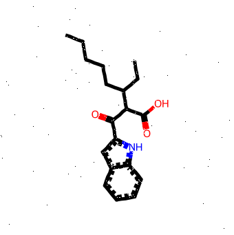 CCCCCC(CC)C(C(=O)O)C(=O)c1cc2ccccc2[nH]1